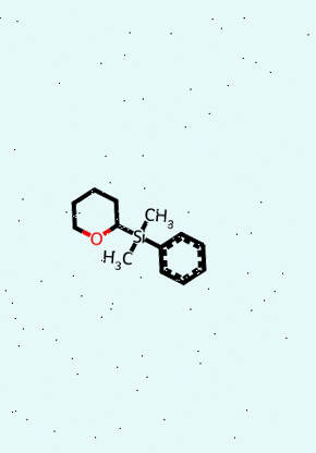 C[Si](C)(c1ccccc1)C1CCCCO1